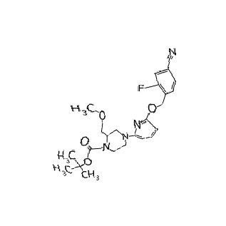 COCC1CN(c2cccc(OCc3ccc(C#N)cc3F)n2)CCN1C(=O)OC(C)(C)C